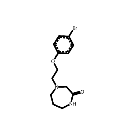 O=C1CN(CCOc2ccc(Br)cc2)CCCN1